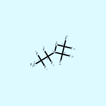 FC(F)(F)C(F)(F)C(F)(F)N1OC(F)(F)C1(F)F